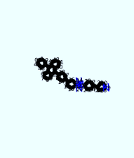 c1ccc(-c2c3ccccc3c(-c3ccc(-c4ccc5nn(-c6ccc(-c7ccncc7)cc6)nc5c4)cc3)c3ccccc23)cc1